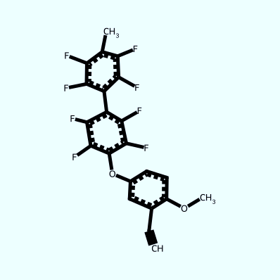 C#Cc1cc(Oc2c(F)c(F)c(-c3c(F)c(F)c(C)c(F)c3F)c(F)c2F)ccc1OC